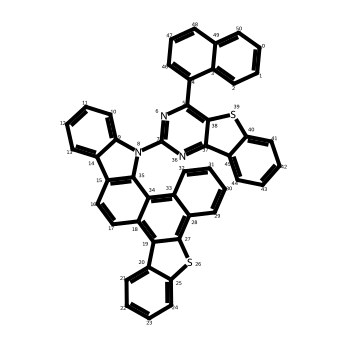 c1ccc2c(-c3nc(-n4c5ccccc5c5ccc6c7c8ccccc8sc7c7ccccc7c6c54)nc4c3sc3ccccc34)cccc2c1